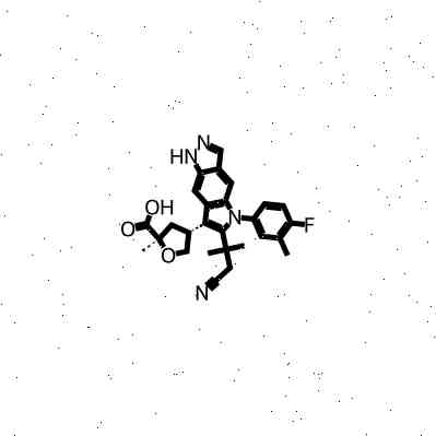 Cc1cc(-n2c(C(C)(C)CC#N)c([C@@H]3CO[C@@](C)(C(=O)O)C3)c3cc4[nH]ncc4cc32)ccc1F